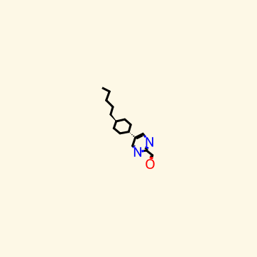 CCCCC[C@H]1CC[C@H](c2cnc(C=O)nc2)CC1